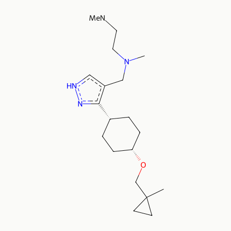 CNCCN(C)Cc1c[nH]nc1[C@H]1CC[C@@H](OCC2(C)CC2)CC1